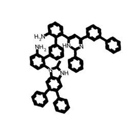 CC1Nc2cc(-c3ccccc3)c(-c3ccccc3)cc2N1c1cccc(N)c1-c1cccc(-c2c(N)cccc2C2=CC(c3cccc(-c4ccccc4)c3)=NC(c3ccccc3)N2)c1